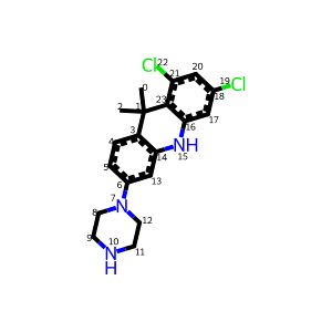 CC1(C)c2ccc(N3CCNCC3)cc2Nc2cc(Cl)cc(Cl)c21